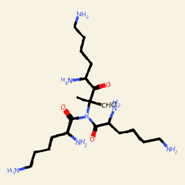 CC([C]=O)(C(=O)C(N)CCCCN)N(C(=O)C(N)CCCCN)C(=O)C(N)CCCCN